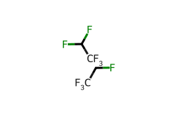 FC(F)C(F)(F)F.FCC(F)(F)F